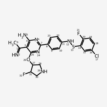 CC(=N)c1c(N)nc(-c2ccc(NSc3cc(Cl)ccc3F)cc2)nc1OC1CNCC1F